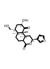 CC(=O)O[C@H]1C[C@@H](CO)[C@]2(C)CCC3C(=O)O[C@H](c4ccoc4)C[C@]3(C)[C@H]2C1=O